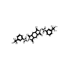 O=C1C2CC3C(=O)N(OS(=O)(=O)c4cccc(C(F)(F)F)c4)C(=O)C3CC2C(=O)N1OS(=O)(=O)c1cccc(C(F)(F)F)c1